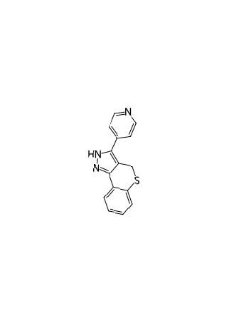 c1ccc2c(c1)SCc1c-2n[nH]c1-c1ccncc1